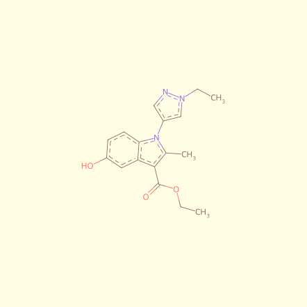 CCOC(=O)c1c(C)n(-c2cnn(CC)c2)c2ccc(O)cc12